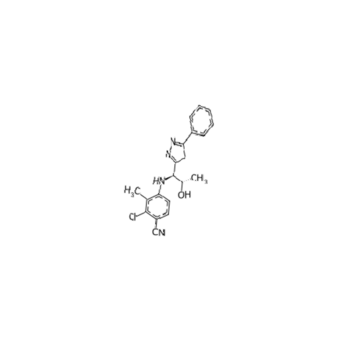 Cc1c(N[C@@H](C2=NN=C(c3ccccc3)C2)[C@H](C)O)ccc(C#N)c1Cl